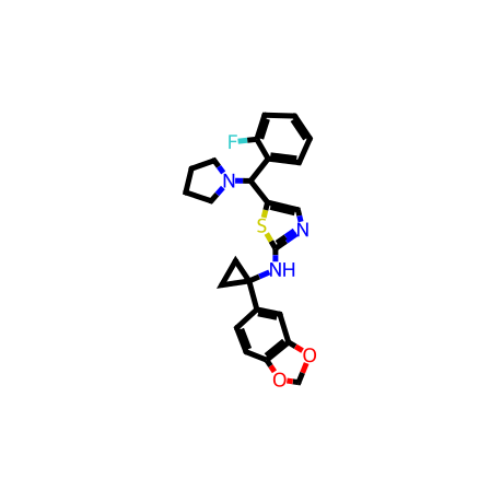 Fc1ccccc1C(c1cnc(NC2(c3ccc4c(c3)OCO4)CC2)s1)N1CCCC1